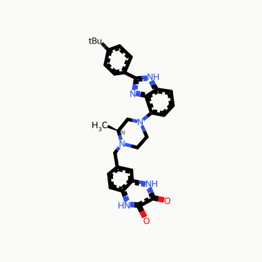 C[C@H]1CN(c2cccc3[nH]c(-c4ccc(C(C)(C)C)cc4)nc23)CCN1Cc1ccc2[nH]c(=O)c(=O)[nH]c2c1